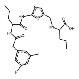 CCCC(NCc1cnc(NC(=O)C(CCC)NC(=O)Cc2cc(F)cc(F)c2)s1)C(=O)O